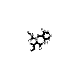 CCC(C)C1C(=O)Nc2cncc(F)c2CN1C(=O)OC